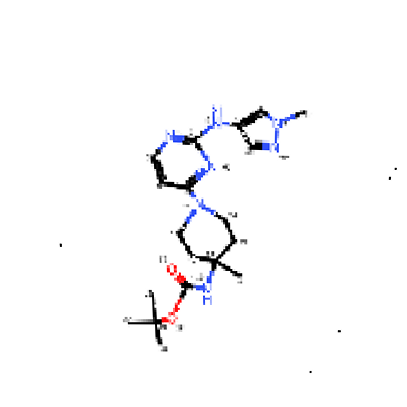 Cn1cc(Nc2nccc(N3CCC(C)(NC(=O)OC(C)(C)C)CC3)n2)cn1